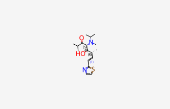 CC(C)C(=O)[C@H]([C@H](O)[C@H](C)/C=C/c1nccs1)N(C)C(C)C